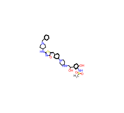 CS(=O)(=O)Nc1cc(C(O)CNC2CCN(c3ccc(/C=C4/SC(NC5CCN(Cc6ccccc6)CC5)=NC4=O)cc3)CC2)ccc1O